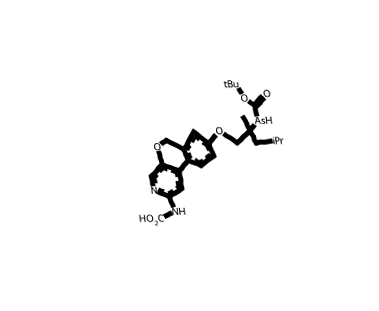 CC(C)CC(C)(COc1ccc2c(c1)COc1cnc(NC(=O)O)cc1-2)[AsH]C(=O)OC(C)(C)C